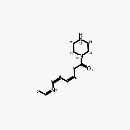 C\C=N/C=C\C=C/CC(=O)N1CCNCC1